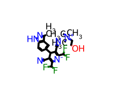 C[N+](C)(C)CCO.Cc1n[nH]c2ccc(C3C(C#N)=C(C(F)F)[N-]C(C(F)F)=C3C#N)cc12